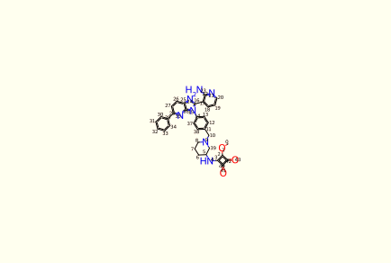 COc1c(N[C@H]2CCCN(Cc3ccc(-n4c(-c5cccnc5N)nc5ccc(-c6ccccc6)nc54)cc3)C2)c(=O)c1=O